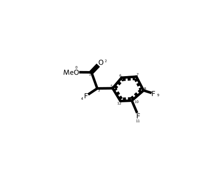 COC(=O)C(F)c1ccc(F)c(F)c1